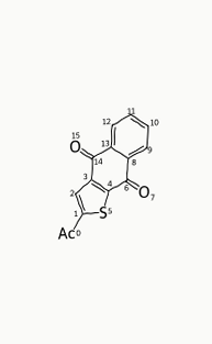 CC(=O)c1cc2c(s1)C(=O)c1ccccc1C2=O